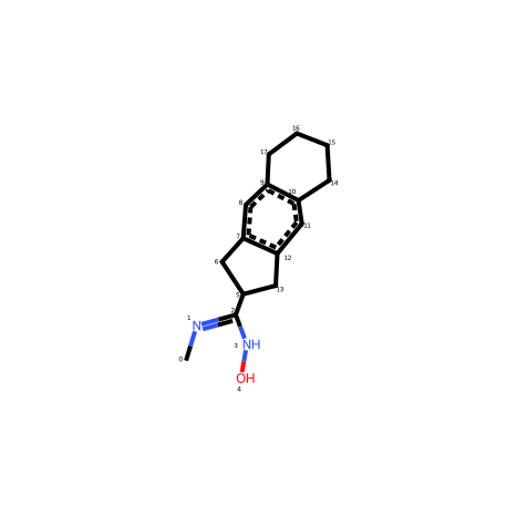 CN=C(NO)C1Cc2cc3c(cc2C1)CCCC3